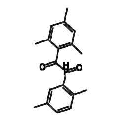 Cc1cc(C)c(C(=O)[PH](=O)c2cc(C)ccc2C)c(C)c1